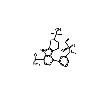 C=CS(=O)(=O)N(C)c1cccc(-c2ccc(C(N)=O)c3[nH]c4c(c23)CCC(C(C)(C)O)C4)c1